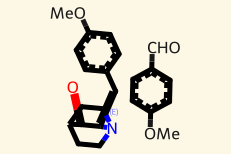 COc1ccc(/C=C2\C(=O)C3CCN2CC3)cc1.COc1ccc(C=O)cc1